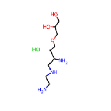 Cl.NCCNCC(N)CCOCC(O)CO